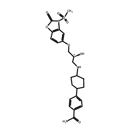 CS(=O)(=O)n1c(=O)oc2ccc(OC[C@@H](O)CNC3CCC(c4ccc(C(N)=O)cc4)CC3)cc21